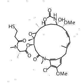 COc1cc2cc(c1Cl)N(C)C(=O)C[C@@H](OC(=O)[C@H](C)N(C)C(=O)CCS)[C@]1(C)OC1[C@H](C)[C@@H]1C[C@@](O)(NC(=O)O1)[C@H](OC)/C=C\C=C(/C)C2